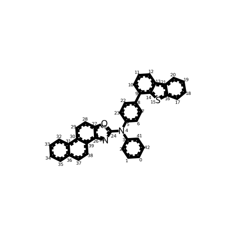 c1ccc(N(c2ccc(-c3cccc4c3sc3ccccc34)cc2)c2nc3c(ccc4c5ccccc5ccc43)o2)cc1